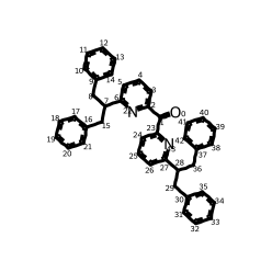 O=C(c1cccc(C(Cc2ccccc2)Cc2ccccc2)n1)c1cccc(C(Cc2ccccc2)Cc2ccccc2)n1